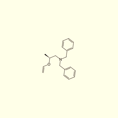 C=CO[C@@H](C)CN(Cc1ccccc1)Cc1ccccc1